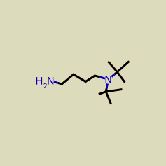 CC(C)(C)N(CCCCN)C(C)(C)C